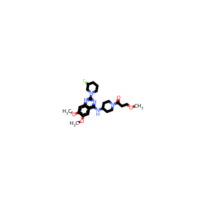 COCCC(=O)N1CCC(Nc2nc(N3CCCC(F)C3)nc3cc(OC)c(OC)cc23)CC1